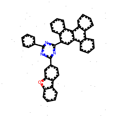 c1ccc(-c2nc(-c3ccc4c(c3)oc3ccccc34)nc(-c3cc4c5ccccc5c5ccccc5c4c4ccccc34)n2)cc1